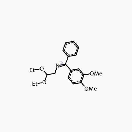 CCOC(C/N=C(/c1ccccc1)c1ccc(OC)c(OC)c1)OCC